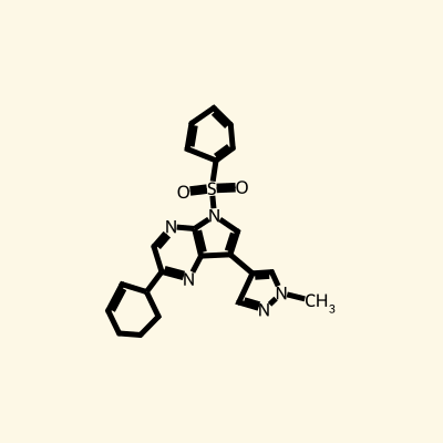 Cn1cc(-c2cn(S(=O)(=O)c3ccccc3)c3ncc(C4C=CCCC4)nc23)cn1